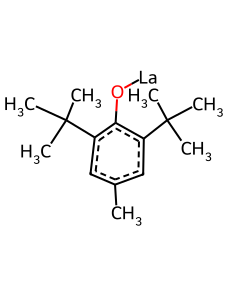 Cc1cc(C(C)(C)C)c([O][La])c(C(C)(C)C)c1